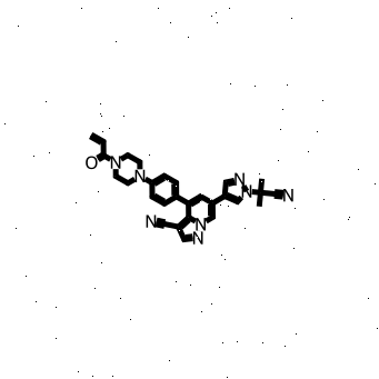 C=CC(=O)N1CCN(c2ccc(-c3cc(-c4cnn(C(C)(C)C#N)c4)cn4ncc(C#N)c34)cc2)CC1